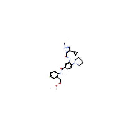 CC(C)(C)OC(=O)Cc1cc(F)ccc1NC(=O)c1ccc(N2CCCCC2)c(NC(=O)c2nn(CC(F)(F)F)cc2C2CC2)c1